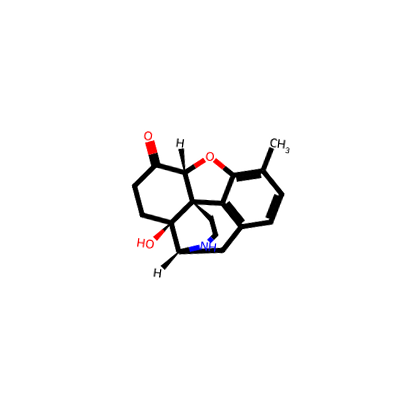 Cc1ccc2c3c1O[C@H]1C(=O)CC[C@@]4(O)[C@@H](C2)NCC[C@]314